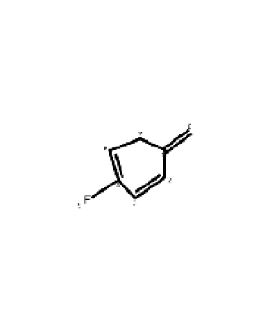 C=C1C=CC(F)=CC1